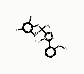 Cn1c(-c2ccccc2OC(F)(F)F)nnc1C(C)(C)Oc1c(F)cc(F)cc1F